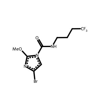 COc1nc(Br)cn1C(=O)NCCCC(F)(F)F